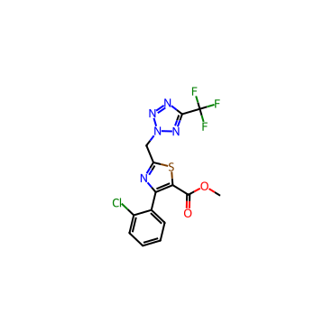 COC(=O)c1sc(Cn2nnc(C(F)(F)F)n2)nc1-c1ccccc1Cl